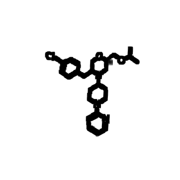 CC(C)OC[C@H]1CN(C2CCN(c3ccccn3)CC2)C(Cc2ccc(Cl)cc2)CO1